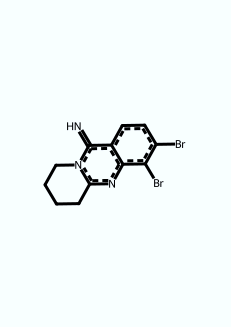 N=c1c2ccc(Br)c(Br)c2nc2n1CCCC2